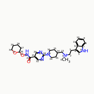 CN(CCc1c[nH]c2ccccc12)CC1CCN(c2ncc(C(=O)NOC3CCCCO3)cn2)CC1